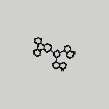 c1cc(-c2cc(-c3ccc4c5ccccc5c5ccccc5c4c3)cc(-c3cccc4ncccc34)c2)c2cccnc2c1